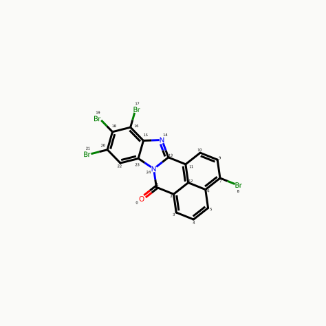 O=c1c2cccc3c(Br)ccc(c32)c2nc3c(Br)c(Br)c(Br)cc3n12